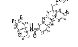 O=C(O)CCCCc1nc2cc(C(=O)N[C@@H]3CCOc4cc(F)c(F)cc43)ccc2nc1-c1ccc(F)cc1